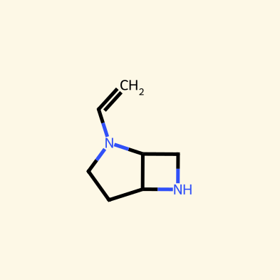 C=CN1CCC2NCC21